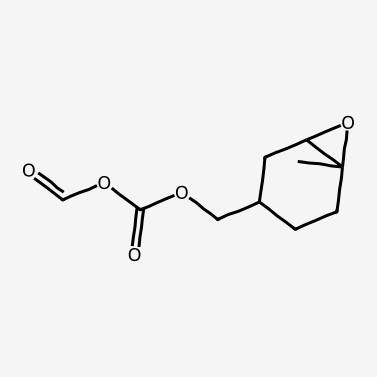 CC12CCC(COC(=O)OC=O)CC1O2